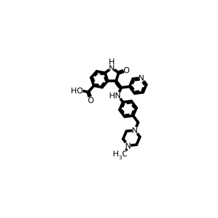 CN1CCN(Cc2ccc(NC(=C3C(=O)Nc4ccc(C(=O)O)cc43)c3cccnc3)cc2)CC1